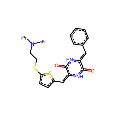 CC(C)N(CCSc1ccc(C=c2[nH]c(=O)c(=Cc3ccccc3)[nH]c2=O)s1)C(C)C